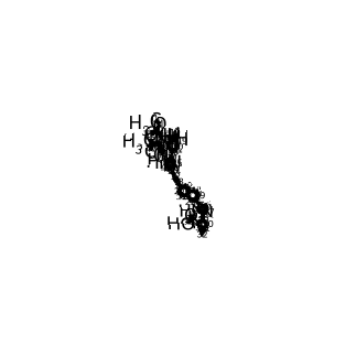 COC(=O)N[C@H](C(=O)N1[C@@H]2C[C@H]2C[C@H]1c1nc(C#Cc2ccc3cc(-c4cnc(C5CC6CC6N5C(=O)O)[nH]4)ccc3c2)c[nH]1)C(C)C